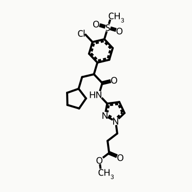 COC(=O)CCn1ccc(NC(=O)C(CC2CCCC2)c2ccc(S(C)(=O)=O)c(Cl)c2)n1